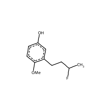 COc1ccc(O)cc1CCC(C)F